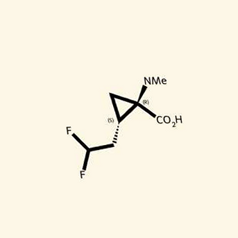 CN[C@]1(C(=O)O)C[C@H]1CC(F)F